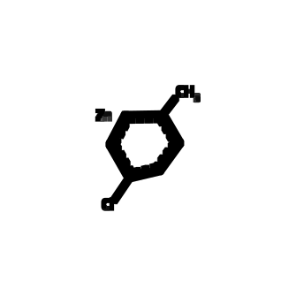 Cc1ccc(Cl)cc1.[Zn]